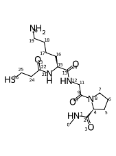 CNC(=O)[C@@H]1CCCN1C(=O)CNC(=O)[C@H](CCCCN)NC(=O)CCS